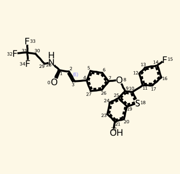 O=C(/C=C/c1ccc(Oc2c(-c3ccc(F)cc3)sc3cc(O)ccc23)cc1)NCCC(F)(F)F